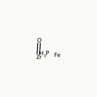 P.[Fe].[O]=[Zr]